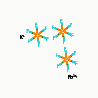 F[P-](F)(F)(F)(F)F.F[P-](F)(F)(F)(F)F.F[P-](F)(F)(F)(F)F.[K+].[Pb+2]